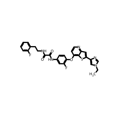 CCn1cnc(-c2cc3nccc(Oc4ccc(NC(=O)C(=O)NCCc5ccccc5F)cc4F)c3s2)c1